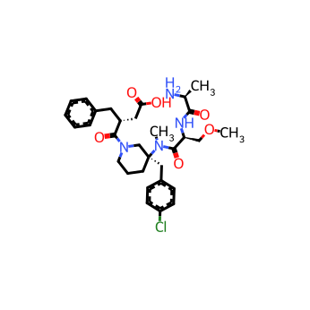 COC[C@H](NC(=O)[C@H](C)N)C(=O)N(C)[C@@]1(Cc2ccc(Cl)cc2)CCCN(C(=O)[C@@H](CC(=O)O)Cc2ccccc2)C1